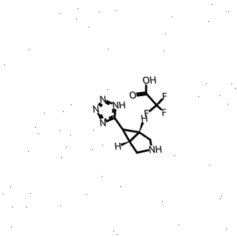 C1NC[C@H]2C(c3nnn[nH]3)[C@@H]12.O=C(O)C(F)(F)F